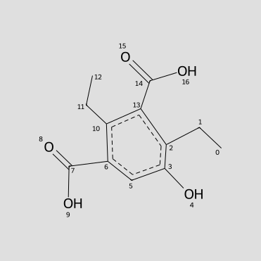 CCc1c(O)cc(C(=O)O)c(CC)c1C(=O)O